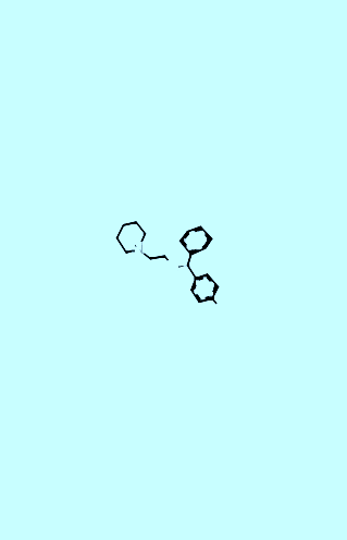 Clc1ccc([C@@H](OCCN2CCCCC2)c2ccccc2)cc1